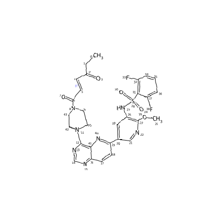 CCC(=O)/C=C/C(=O)N1CCN(c2ncnc3ccc(-c4cnc(OC)c(NS(=O)(=O)c5c(F)cccc5F)c4)nc23)CC1